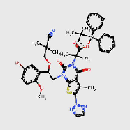 COc1ccc(Br)cc1[C@H](Cn1c(=O)n(C(C)(C)C(=O)O[Si](c2ccccc2)(c2ccccc2)C(C)(C)C)c(=O)c2c(C)c(-n3nccn3)sc21)OCC(C)(C)C#N